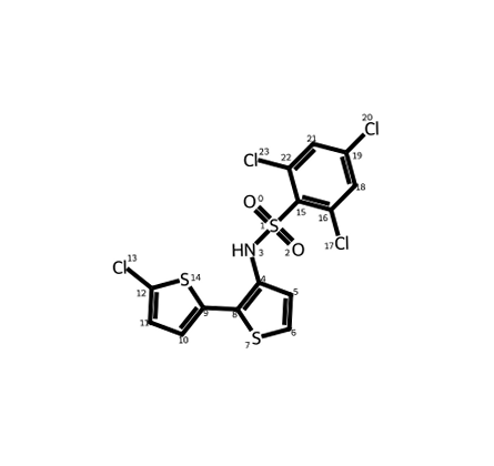 O=S(=O)(Nc1ccsc1-c1ccc(Cl)s1)c1c(Cl)cc(Cl)cc1Cl